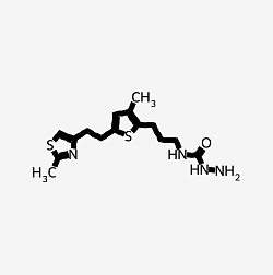 Cc1nc(CCc2cc(C)c(CCCNC(=O)NN)s2)cs1